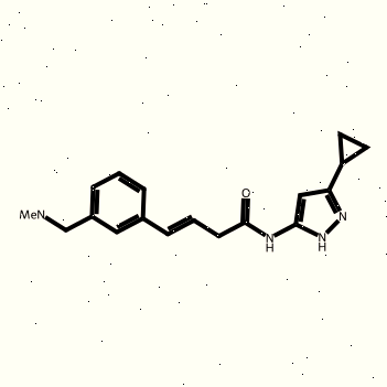 CNCc1cccc(/C=C/CC(=O)Nc2cc(C3CC3)n[nH]2)c1